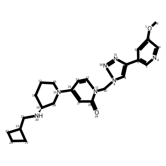 COc1cncc(-c2cn(Cn3ccc(N4CCC[C@@H](NCC5CCC5)C4)cc3=O)nn2)c1